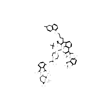 Cc1c(-c2cccc3c(CCCOc4cccc5c4C=CC(C)C5)c(C(=O)OC(C)(C)C)n(CCN4CCN(C(=O)COc5cccc6c5C(=O)N(C5CCC(=O)NC5=O)C6=O)CC4)c23)c(COc2ccc(Br)c(C=O)c2)nn1C